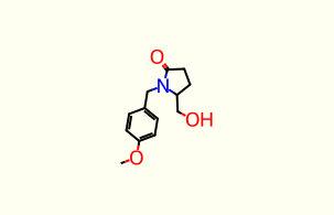 COc1ccc(CN2C(=O)CCC2CO)cc1